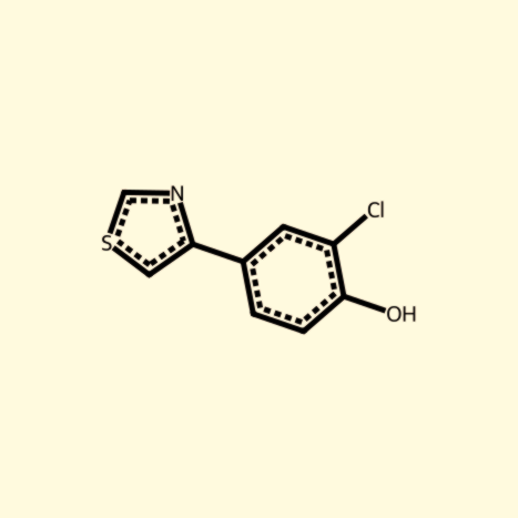 Oc1ccc(-c2cscn2)cc1Cl